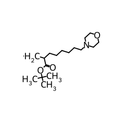 [CH2]C(CCCCCCN1CCOCC1)C(=O)OC(C)(C)C